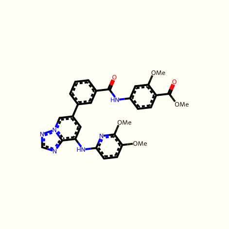 COC(=O)c1ccc(NC(=O)c2cccc(-c3cc(Nc4ccc(OC)c(OC)n4)c4ncnn4c3)c2)cc1OC